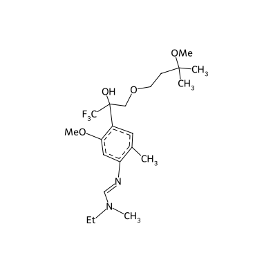 CCN(C)C=Nc1cc(OC)c(C(O)(COCCC(C)(C)OC)C(F)(F)F)cc1C